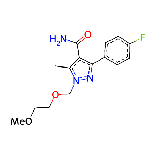 COCCOCn1nc(-c2ccc(F)cc2)c(C(N)=O)c1C